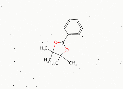 CC1(C)OB(C2=C=C=CC=C2)OC1(C)C